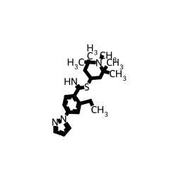 CCc1cc(-n2cccn2)ccc1C(=N)SC1CC(C)(C)N(C)C(C)(C)C1